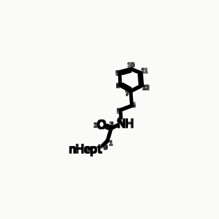 CCCCCCCCC(=O)NCCc1ccccc1